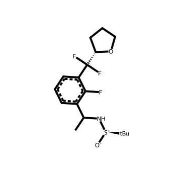 CC(N[S@+]([O-])C(C)(C)C)c1cccc(C(F)(F)[C@@H]2CCCO2)c1F